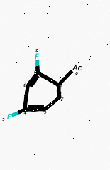 CC(=O)C1CC=C(F)C=C1F